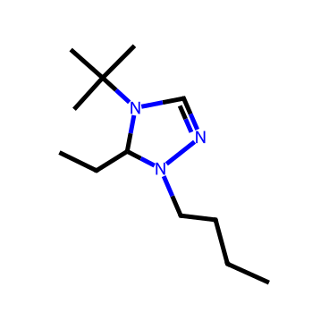 CCCCN1N=CN(C(C)(C)C)C1CC